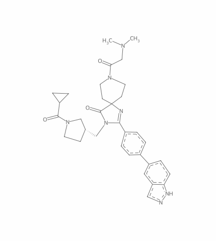 CN(C)CC(=O)N1CCC2(CC1)N=C(c1ccc(-c3ccc4[nH]ncc4c3)cc1)N(C[C@@H]1CCN(C(=O)C3CC3)C1)C2=O